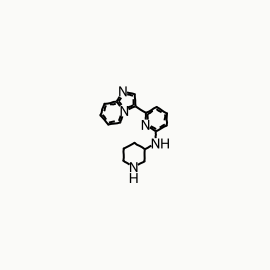 c1cc(NC2CCCNC2)nc(-c2cnc3ccccn23)c1